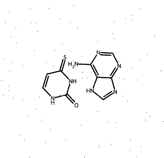 Nc1ncnc2nc[nH]c12.O=c1[nH]ccc(=S)[nH]1